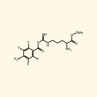 COOC(=O)C(N)CCCNC(=N)OC(=O)c1c(F)c(F)c(N)c(F)c1F